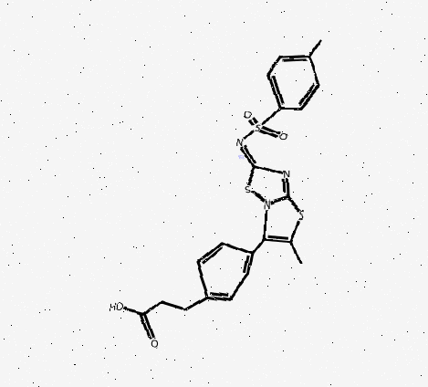 Cc1ccc(S(=O)(=O)/N=c2\nc3sc(C)c(-c4ccc(CCC(=O)O)cc4)n3s2)cc1